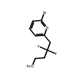 CC(=O)OCCC(F)(F)Cc1cccc(Br)n1